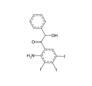 Nc1c(C(=O)C(O)c2ccccc2)cc(I)c(I)c1I